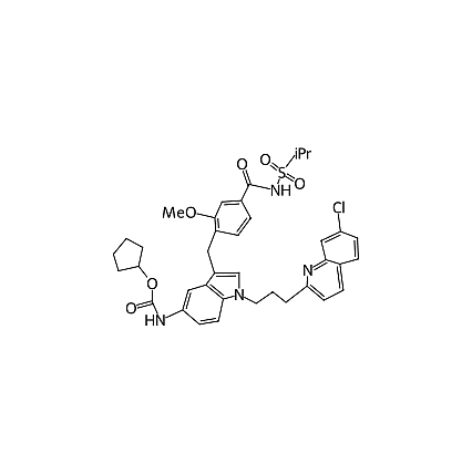 COc1cc(C(=O)NS(=O)(=O)C(C)C)ccc1Cc1cn(CCCc2ccc3ccc(Cl)cc3n2)c2ccc(NC(=O)OC3CCCC3)cc12